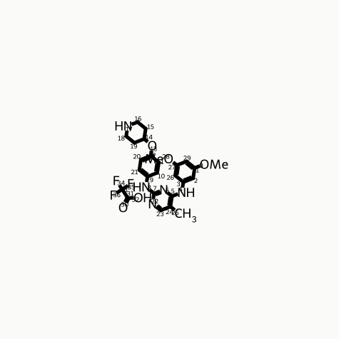 COc1cc(Nc2nc(Nc3ccc(OC4CCNCC4)cc3)ncc2C)cc(OC)c1.O=C(O)C(F)(F)F